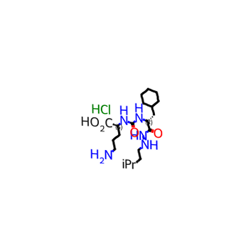 CC(C)CCNNC(=O)[C@@H](CC1CCCCC1)NC(=O)N[C@@H](CCCN)C(=O)O.Cl